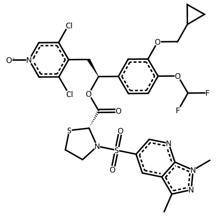 Cc1nn(C)c2ncc(S(=O)(=O)N3CCS[C@@H]3C(=O)O[C@@H](Cc3c(Cl)c[n+]([O-])cc3Cl)c3ccc(OC(F)F)c(OCC4CC4)c3)cc12